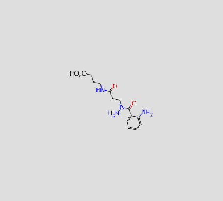 Nc1ccccc1C(=O)N(N)CCC(=O)NCCCC(=O)O